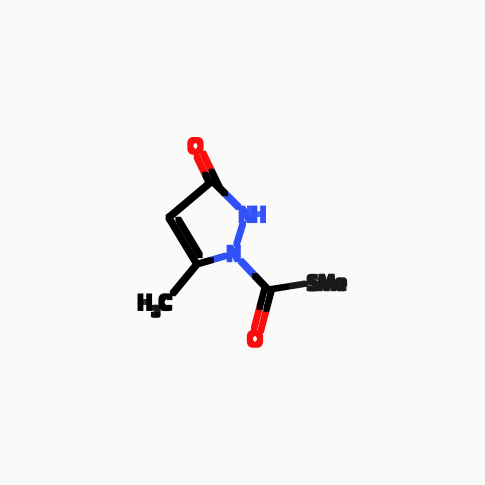 CSC(=O)n1[nH]c(=O)cc1C